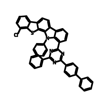 Clc1cccc2c1sc1c2ccc2c3cccc(-c4nc(-c5ccccc5)nc(-c5ccc(-c6ccccc6)cc5)n4)c3n(-c3ccccc3)c21